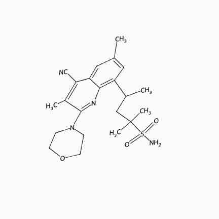 Cc1cc(C(C)CC(C)(C)S(N)(=O)=O)c2nc(N3CCOCC3)c(C)c(C#N)c2c1